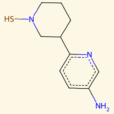 Nc1ccc(C2CCCN(S)C2)nc1